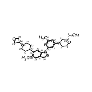 Cc1nc(N2CCO[C@@H](CO)C2)cc(-n2ncc3cc(C)c(C4CCN(C5COC5)CC4)cc32)n1